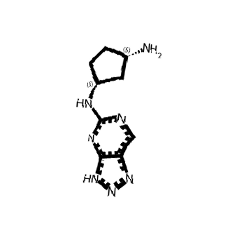 N[C@H]1CC[C@H](Nc2ncc3nn[nH]c3n2)C1